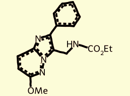 CCOC(=O)NCc1c(-c2ccccc2)nc2ccc(OC)nn12